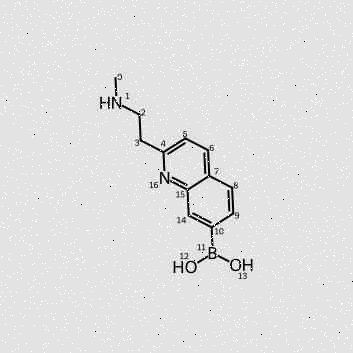 CNCCc1ccc2ccc(B(O)O)cc2n1